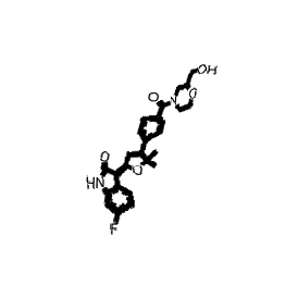 CC1(C)O/C(=C2/C(=O)Nc3cc(F)ccc32)C=C1c1ccc(C(=O)N2CCOC(CO)C2)cc1